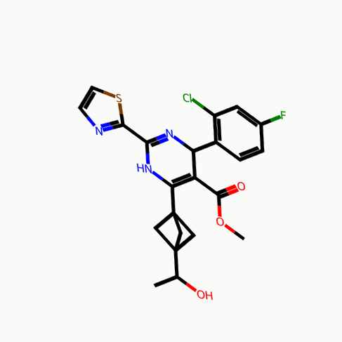 COC(=O)C1=C(C23CC(C(C)O)(C2)C3)NC(c2nccs2)=NC1c1ccc(F)cc1Cl